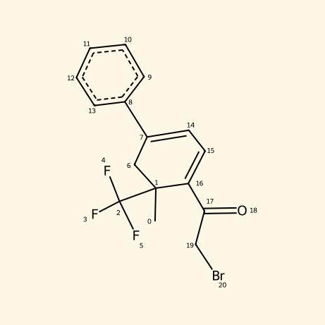 CC1(C(F)(F)F)CC(c2ccccc2)=CC=C1C(=O)CBr